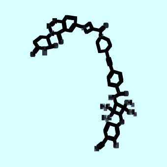 CC1(C)C(NC(=O)c2ccc(C#CC3CCN(C(=O)C4CN(c5ccc6nnn(C7CCC(=O)NC7=O)c(=O)c6c5)C4)CC3)cc2)C(C)(C)C1Oc1ccc(C#N)c(Cl)c1